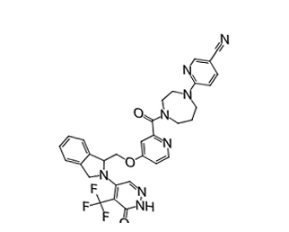 N#Cc1ccc(N2CCCN(C(=O)c3cc(OCC4c5ccccc5CN4c4cn[nH]c(=O)c4C(F)(F)F)ccn3)CC2)nc1